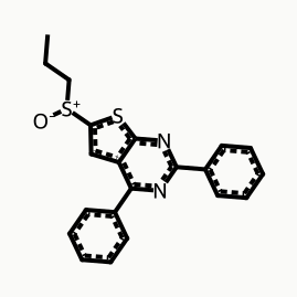 CCC[S+]([O-])c1cc2c(-c3ccccc3)nc(-c3ccccc3)nc2s1